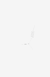 [CH2]C(Cl)C#CC